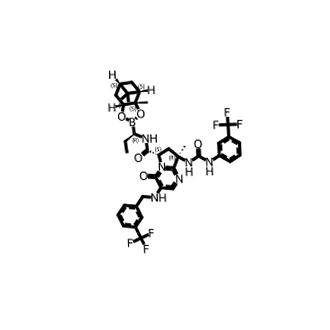 CC[C@H](NC(=O)[C@@H]1C[C@@](C)(NC(=O)Nc2cccc(C(F)(F)F)c2)c2ncc(NCc3cccc(C(F)(F)F)c3)c(=O)n21)B1O[C@@H]2C[C@@H]3C[C@@H](C3(C)C)[C@]2(C)O1